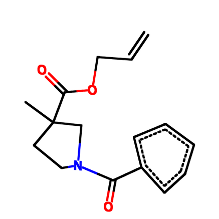 C=CCOC(=O)C1(C)CCN(C(=O)c2ccccc2)C1